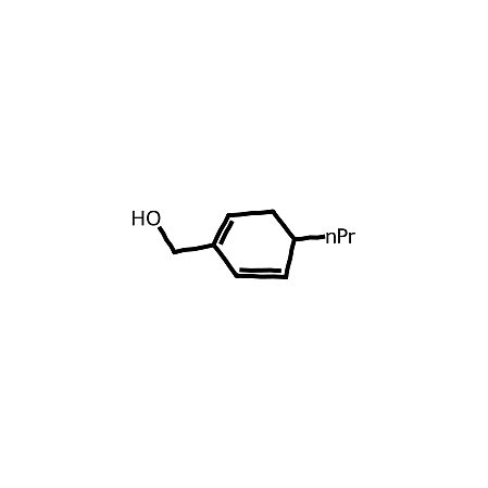 CCCC1C=CC(CO)=CC1